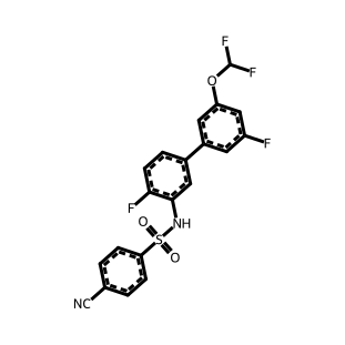 N#Cc1ccc(S(=O)(=O)Nc2cc(-c3cc(F)cc(OC(F)F)c3)ccc2F)cc1